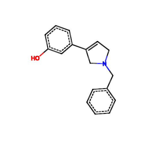 Oc1cccc(C2=CCN(Cc3ccccc3)C2)c1